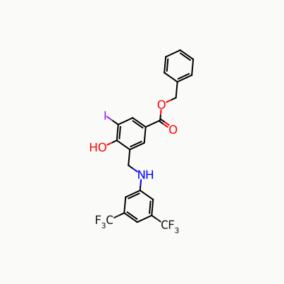 O=C(OCc1ccccc1)c1cc(I)c(O)c(CNc2cc(C(F)(F)F)cc(C(F)(F)F)c2)c1